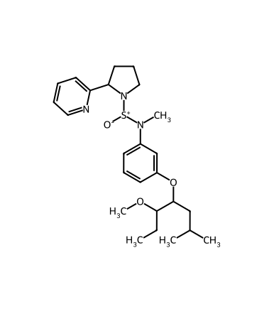 CCC(OC)C(CC(C)C)Oc1cccc(N(C)[S+]([O-])N2CCCC2c2ccccn2)c1